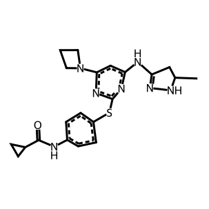 CC1CC(Nc2cc(N3CCC3)nc(Sc3ccc(NC(=O)C4CC4)cc3)n2)=NN1